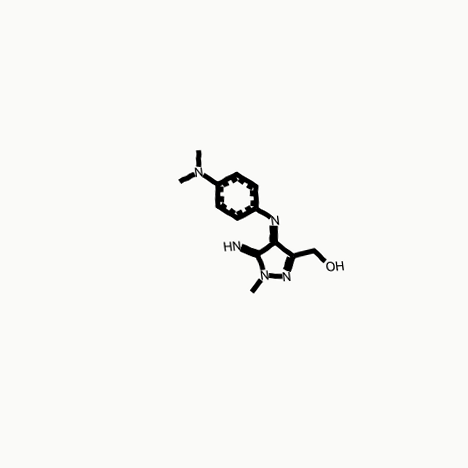 CN1N=C(CO)C(=Nc2ccc(N(C)C)cc2)C1=N